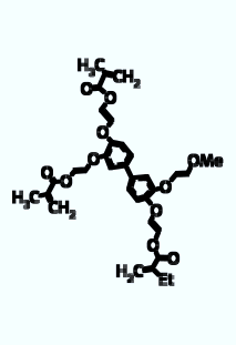 C=C(C)C(=O)O/C=C/Oc1ccc(-c2ccc(O/C=C/OC(=O)C(=C)CC)c(O/C=C/OC)c2)cc1O/C=C/OC(=O)C(=C)C